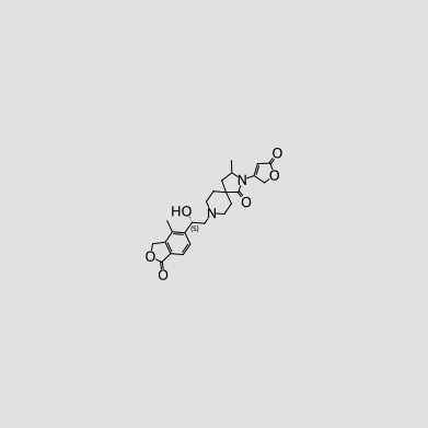 Cc1c([C@H](O)CN2CCC3(CC2)CC(C)N(C2=CC(=O)OC2)C3=O)ccc2c1COC2=O